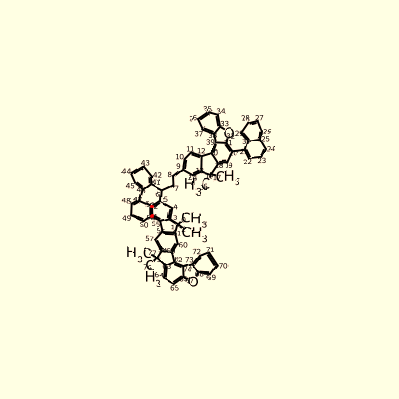 CC1(C)c2cc(C(CCc3ccc4c(c3)C(C)(C)c3cc(-c5cccc6ccccc56)c5oc6ccccc6c5c3-4)c3ccccc3-c3ccccc3)ccc2-c2cc3c(cc21)-c1c(ccc2oc4ccccc4c12)C3(C)C